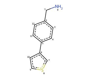 NCc1ccc(-c2[c]scc2)cc1